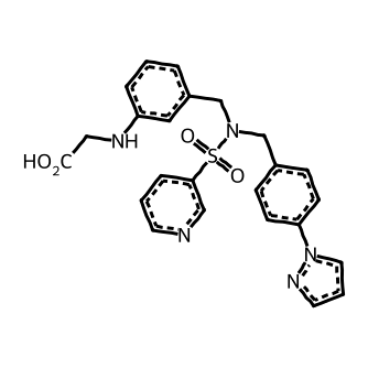 O=C(O)CNc1cccc(CN(Cc2ccc(-n3cccn3)cc2)S(=O)(=O)c2cccnc2)c1